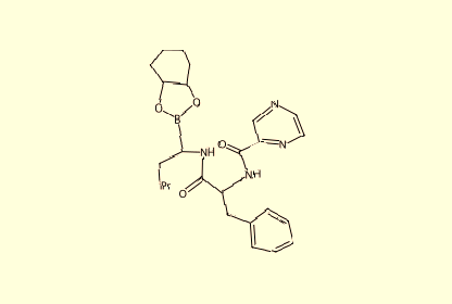 CC(C)CC(NC(=O)C(Cc1ccccc1)NC(=O)c1cnccn1)B1OC2CCCCC2O1